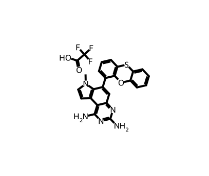 Cn1ccc2c3c(N)nc(N)nc3cc(-c3cccc4c3Oc3ccccc3S4)c21.O=C(O)C(F)(F)F